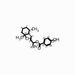 CCCC(CC[C@@H]1[C@@H](C)CCCC1(C)C)OC(=O)c1ccc(O)cc1